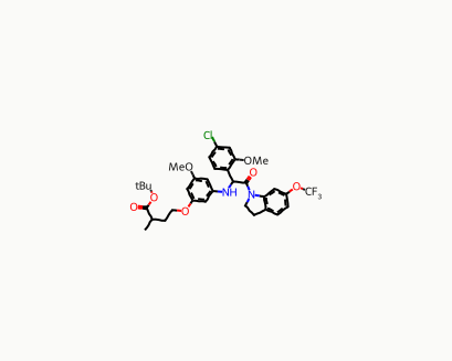 COc1cc(NC(C(=O)N2CCc3ccc(OC(F)(F)F)cc32)c2ccc(Cl)cc2OC)cc(OCCC(C)C(=O)OC(C)(C)C)c1